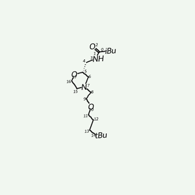 CCC(C)C(=O)NC[C@@H]1CN(CCOCCCC(C)(C)C)CCO1